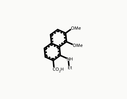 CCNc1c(C(=O)O)ccc2ccc(OC)c(OC)c12